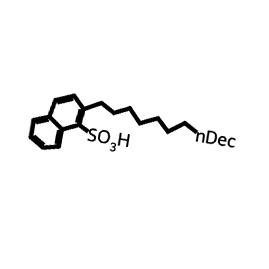 CCCCCCCCCCCCCCCCCc1ccc2ccccc2c1S(=O)(=O)O